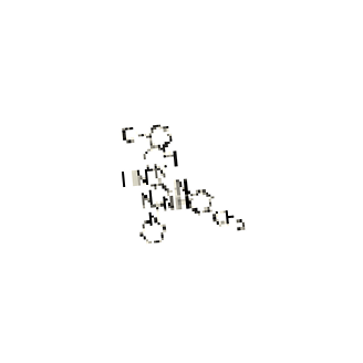 FC(F)(F)c1ccc(Nc2nc(N3CCCCC3)nc3[nH]c(Cc4c(Cl)cccc4Cl)nc23)cc1